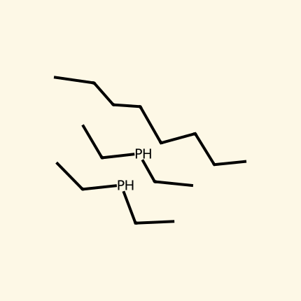 CCCCCCCC.CCPCC.CCPCC